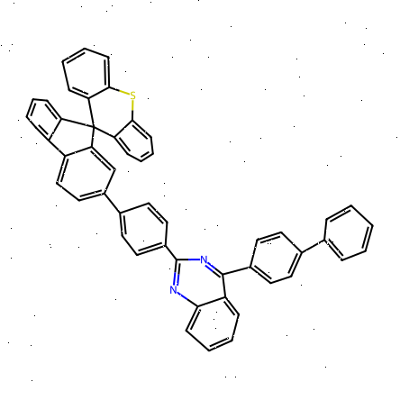 c1ccc(-c2ccc(-c3nc(-c4ccc(-c5ccc6c(c5)C5(c7ccccc7Sc7ccccc75)c5ccccc5-6)cc4)nc4ccccc34)cc2)cc1